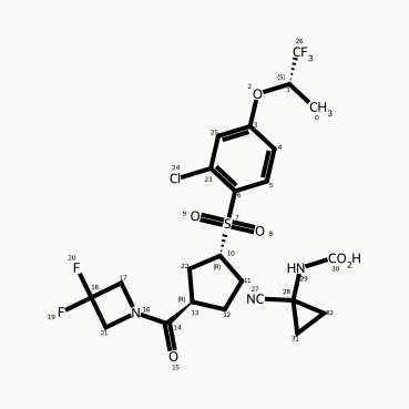 C[C@H](Oc1ccc(S(=O)(=O)[C@@H]2CC[C@@H](C(=O)N3CC(F)(F)C3)C2)c(Cl)c1)C(F)(F)F.N#CC1(NC(=O)O)CC1